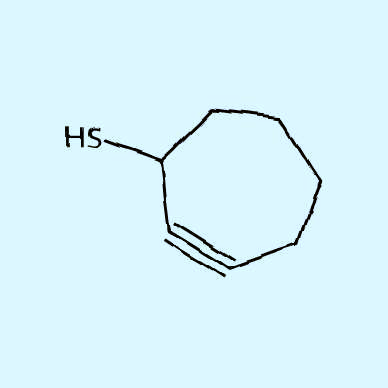 SC1C#CCCCC1